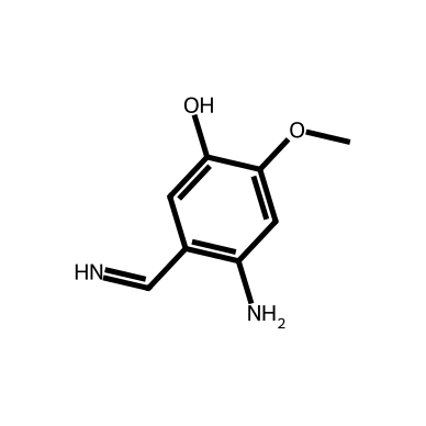 COc1cc(N)c(C=N)cc1O